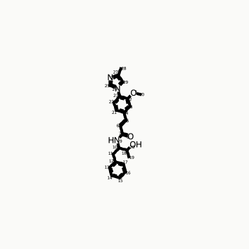 COc1cc(C=CC(=O)NC(Cc2ccccc2)C(C)O)ccc1-n1cnc(C)c1